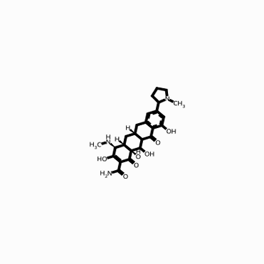 CN[C@@H]1C(O)=C(C(N)=O)C(=O)[C@@]2(O)C(O)C3C(=O)c4c(O)cc(C5CCCN5C)cc4C[C@H]3C[C@@H]12